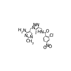 Cc1ncc(Cn2nnc(CNC(=O)c3ccc([N+](=O)[O-])cc3Cl)c2I)c(N)n1